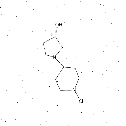 O[C@H]1CCN(C2CCN(Cl)CC2)C1